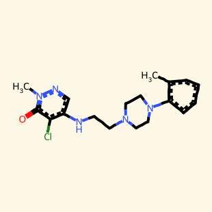 Cc1ccccc1N1CCN(CCNc2cnn(C)c(=O)c2Cl)CC1